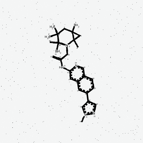 BC1(B)CC2(B)CC2(C)N(CC(=C)Nc2cc3cc(-c4cnn(C)c4)ccc3cn2)C1(B)C